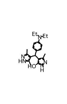 CCN(CC)c1ccc(C(c2c(C)n[nH]c2C)c2c(C)n[nH]c2O)cc1